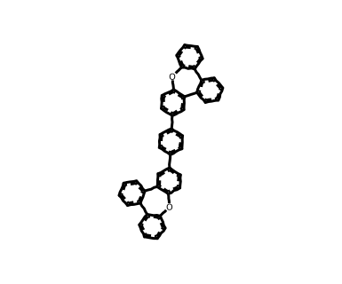 c1ccc2c(c1)Oc1ccc(-c3ccc(-c4ccc5c(c4)-c4ccccc4-c4ccccc4O5)cc3)cc1-c1ccccc1-2